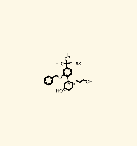 CCCCCCC(C)(C)c1ccc([C@@H]2C[C@H](O)CC[C@H]2CCCO)c(OCc2ccccc2)c1